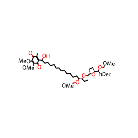 CCCCCCCCCC[C@H](OCOC)[C@@H]1CC[C@@H]([C@@H]2CC[C@@H](C(CCCCCCCCCCCCC(O)C3=C(C)C(=O)C(OC)=C(OC)C3=O)OCOC)O2)O1